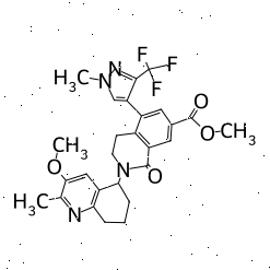 COC(=O)c1cc2c(c(-c3cn(C)nc3C(F)(F)F)c1)CCN(C1CCCc3nc(C)c(OC)cc31)C2=O